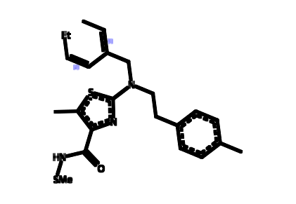 C/C=C(\C=C/CC)CN(CCc1ccc(C)cc1)c1nc(C(=O)NSC)c(C)s1